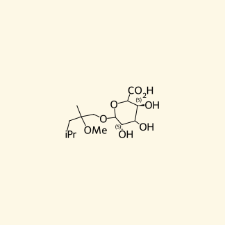 COC(C)(COC1OC(C(=O)O)[C@@H](O)C(O)[C@@H]1O)CC(C)C